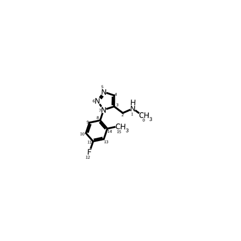 CNCc1cnnn1-c1ccc(F)cc1C